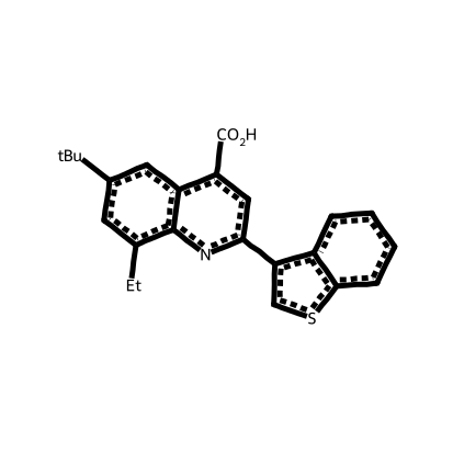 CCc1cc(C(C)(C)C)cc2c(C(=O)O)cc(-c3csc4ccccc34)nc12